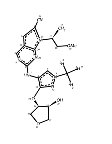 [2H]C([2H])([2H])n1cc(Nc2ncc3cc(C#N)n([C@@H](C)COC)c3n2)c(O[C@@H]2COC[C@@H]2O)n1